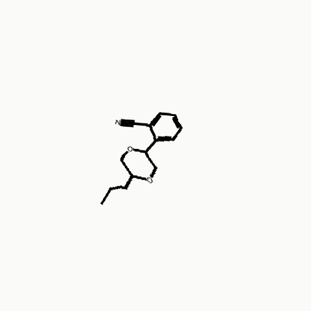 CCCC1COC(c2ccccc2C#N)CO1